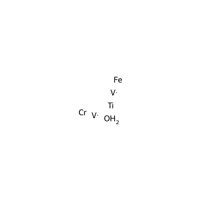 O.[Cr].[Fe].[Ti].[V].[V]